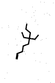 C=C[CH]CCC(CC)(CC)CCC